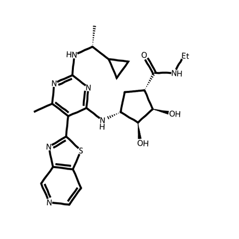 CCNC(=O)[C@H]1C[C@@H](Nc2nc(N[C@H](C)C3CC3)nc(C)c2-c2nc3cnccc3s2)[C@H](O)[C@@H]1O